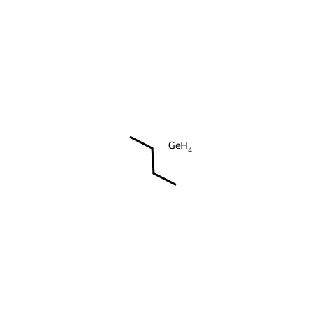 CCCC.[GeH4]